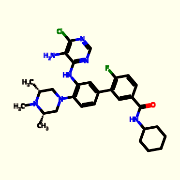 C[C@@H]1CN(c2ccc(-c3cc(C(=O)NC4CCCCC4)ccc3F)cc2Nc2ncnc(Cl)c2N)C[C@H](C)N1C